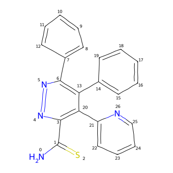 NC(=S)c1nnc(-c2ccccc2)c(-c2ccccc2)c1-c1ccccn1